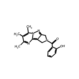 Cc1nc2c3c(nn2c(C)c1C)CN(C(=O)c1ccccc1O)C3